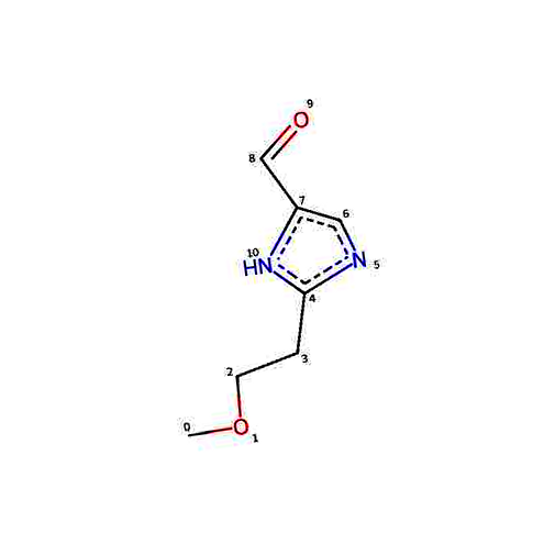 COCCc1ncc(C=O)[nH]1